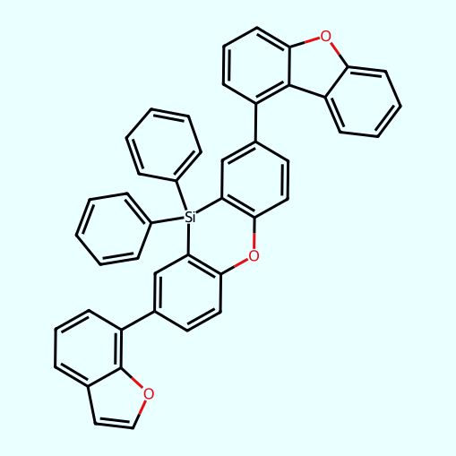 c1ccc([Si]2(c3ccccc3)c3cc(-c4cccc5ccoc45)ccc3Oc3ccc(-c4cccc5oc6ccccc6c45)cc32)cc1